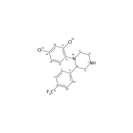 FC(F)(F)c1ccc(C2CNCCN2c2ccc(Cl)cc2Cl)cc1